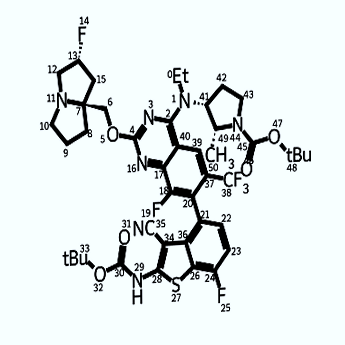 CCN(c1nc(OC[C@@]23CCCN2C[C@H](F)C3)nc2c(F)c(-c3ccc(F)c4sc(NC(=O)OC(C)(C)C)c(C#N)c34)c(C(F)(F)F)cc12)[C@@H]1CCN(C(=O)OC(C)(C)C)[C@@H]1C